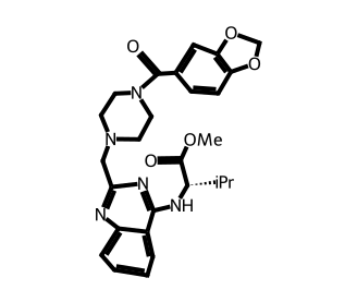 COC(=O)[C@@H](Nc1nc(CN2CCN(C(=O)c3ccc4c(c3)OCO4)CC2)nc2ccccc12)C(C)C